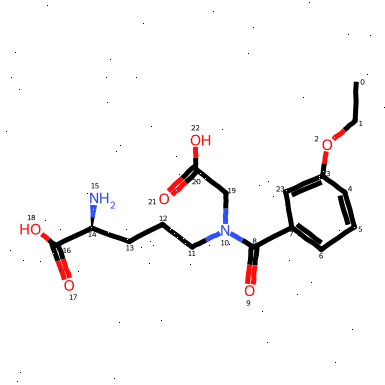 CCOc1cccc(C(=O)N(CCC[C@H](N)C(=O)O)CC(=O)O)c1